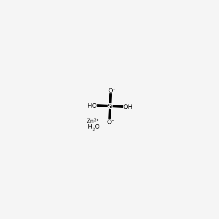 O.[O-][Si]([O-])(O)O.[Zn+2]